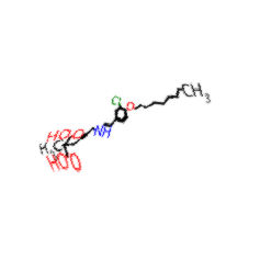 CCCCCCCCCOc1ccc(CCNCC#CCC(C)(C(=O)O)C(=O)O)cc1Cl